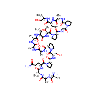 CC[C@H](C)[C@H](NC(=O)[C@@H](NC(=O)[C@@H](N)C(C)C)C(C)C)C(=O)N[C@@H](CCC(N)=O)C(=O)N1CCC[C@H]1C(=O)N[C@@H](CO)C(=O)N1CCC[C@H]1C(=O)N[C@H](C(=O)N[C@H](C(=O)N[C@H](C(=O)N[C@H](C(=O)N[C@@H](CC(C)C)C(=O)N1CCC[C@H]1C(=O)NCC(=O)N1CCC[C@H]1C(=O)N[C@H](C(=O)N[C@@H](CC(C)C)C(=O)N[C@@H](CO)C(=O)O)[C@@H](C)CC)[C@@H](C)O)C(C)C)C(C)C)C(C)C